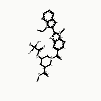 CCn1c(-c2nc3cc(C(=O)N4CC(NC(=O)C(F)(F)F)CC(C(=O)OC)C4)ccc3n2C)cc2ccccc21